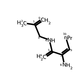 C=C(C)CNC(=C)/C(N)=C\CCC